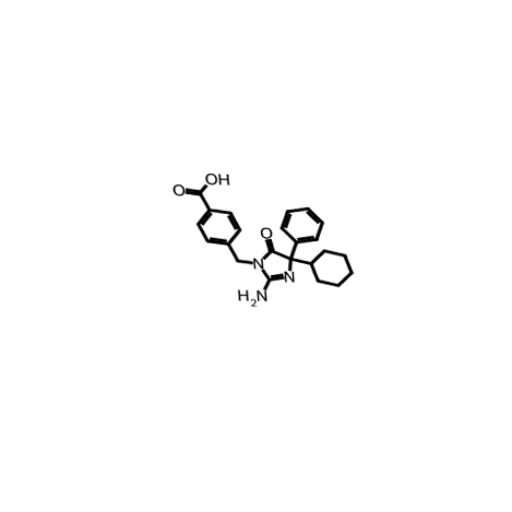 NC1=NC(c2ccccc2)(C2CCCCC2)C(=O)N1Cc1ccc(C(=O)O)cc1